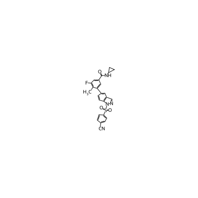 Cc1c(F)cc(C(=O)NC2CC2)cc1-c1ccc2c(cnn2S(=O)(=O)c2ccc(C#N)cc2)c1